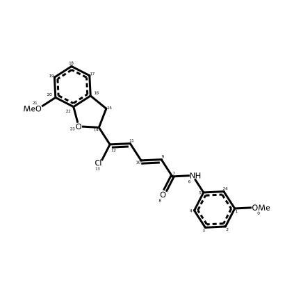 COc1cccc(NC(=O)/C=C/C=C(\Cl)C2Cc3cccc(OC)c3O2)c1